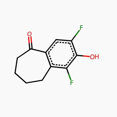 O=C1CCCCc2c1cc(F)c(O)c2F